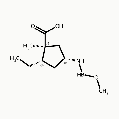 CC[C@H]1C[C@@H](NBOC)C[C@]1(C)C(=O)O